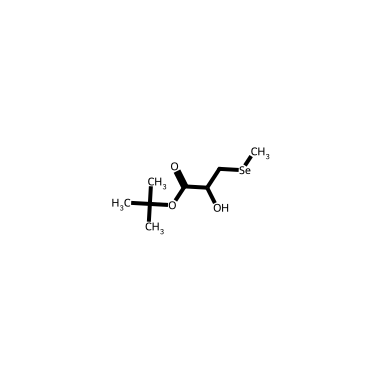 C[Se]CC(O)C(=O)OC(C)(C)C